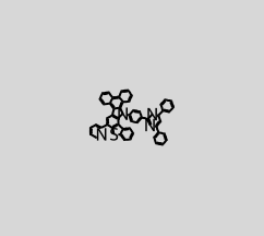 c1ccc(-c2cc(-c3ccccc3)nc(-c3ccc(-n4c5c(cc(-c6ccccn6)c6sc7ccccc7c65)c5c6ccccc6c6ccccc6c54)cc3)n2)cc1